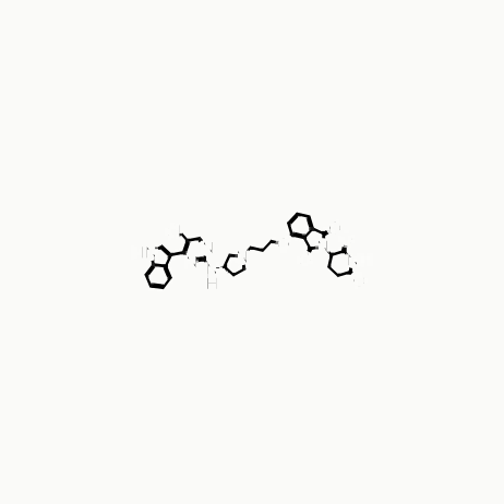 O=C1CCC(N2C(=O)c3cccc(OCCCN4CC[C@@H](Nc5ncc(Cl)c(-c6c[nH]c7ccccc67)n5)C4)c3C2=O)C(=O)N1